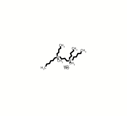 CCCCCC[N+](C)(CCCCC)CCCC[N+](C)(CCCCC)CCCCCC.[OH-].[OH-]